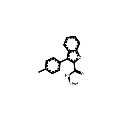 CCCCCCCNC(=O)c1oc2ccccc2c1-c1ccc(C)cc1